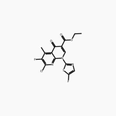 CCOC(=O)c1cn(-c2ncc(F)s2)c2nc(Cl)c(F)c(C)c2c1=O